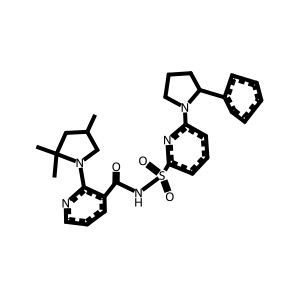 CC1CN(c2ncccc2C(=O)NS(=O)(=O)c2cccc(N3CCCC3c3ccccc3)n2)C(C)(C)C1